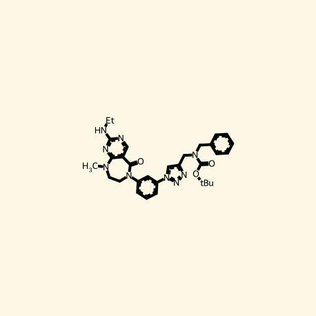 CCNc1ncc2c(n1)N(C)CCN(c1cccc(-n3cc(CN(Cc4ccccc4)C(=O)OC(C)(C)C)nn3)c1)C2=O